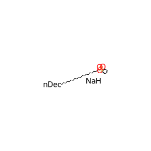 CCCCCCCCCCCCCCCCCCCCCCCCCCCCCCOS(=O)(=O)c1ccccc1.[NaH]